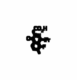 Cc1ccc2c(=O)n(CC(=O)O)nc(C(C)C)c2c1F